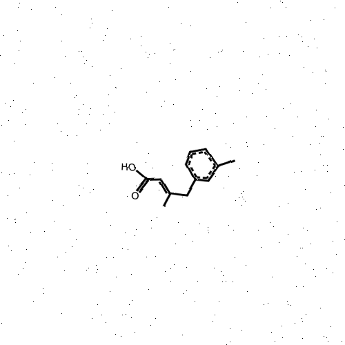 CC(=CC(=O)O)Cc1cccc(C)c1